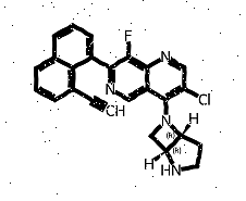 C#Cc1cccc2cccc(-c3ncc4c(N5C[C@H]6NCC[C@H]65)c(Cl)cnc4c3F)c12